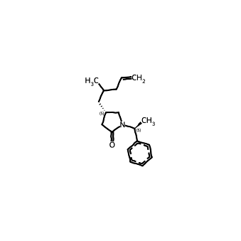 C=CCC(C)C[C@H]1CC(=O)N([C@@H](C)c2ccccc2)C1